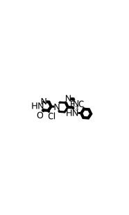 O=c1[nH]ncc(N2CCc3c(ncnc3Nc3ccccc3C(F)(F)F)C2)c1Cl